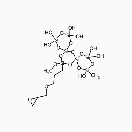 CO[Si]1(CCCOCC2CO2)O[Si]2(O[Si](C)(O)O[Si](O)(O)O2)O[Si]2(O[Si](O)(O)O[Si](O)(O)O2)O1